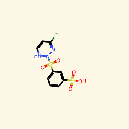 O=S(=O)(O)c1cccc(S(=O)(=O)N2N=C(Cl)C=[C]N2)c1